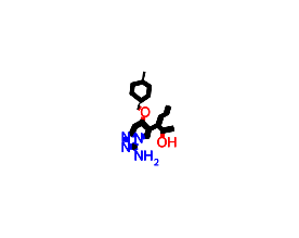 C=C/C=C(\C(=C)O)c1cn2c(N)nnc2cc1OC[C@H]1CC[C@H](C)CC1